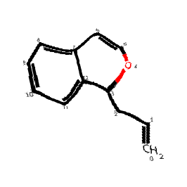 C=C[CH]C1OC=Cc2ccccc21